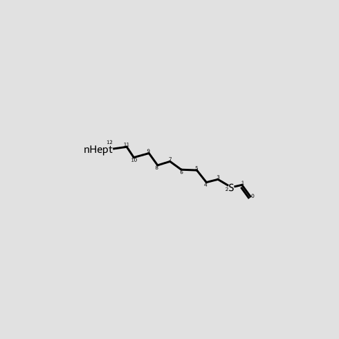 C=CSCCCCCCCCCCCCCCCC